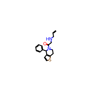 C=CCNCC(=O)N1CCc2sccc2C1c1ccccc1